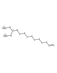 C=CCCCCCCCCCC(CO)CO